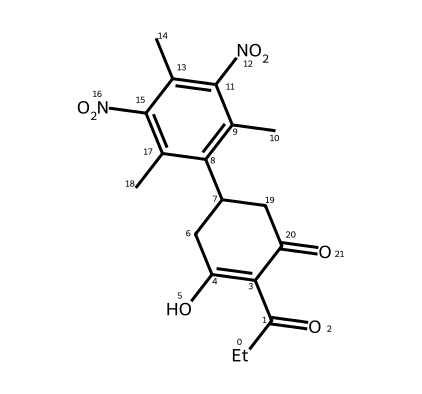 CCC(=O)C1=C(O)CC(c2c(C)c([N+](=O)[O-])c(C)c([N+](=O)[O-])c2C)CC1=O